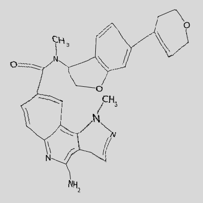 CN(C(=O)c1ccc2nc(N)c3cnn(C)c3c2c1)C1COc2cc(C3=CCOCC3)ccc21